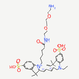 C=CC(C)(C)c1cc(S(=O)(=O)O)ccc1N(CC)C/C=C/C=C/C1=[N+](CCCCCC(=O)NCCOCCOCCN)c2ccc(S(=O)(=O)O)cc2C1(C)C